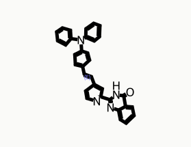 O=c1[nH]c(-c2cc(/C=C/c3ccc(N(c4ccccc4)c4ccccc4)cc3)ccn2)nc2ccccc12